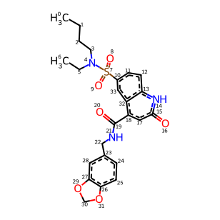 CCCCN(CC)S(=O)(=O)c1ccc2[nH]c(=O)cc(C(=O)NCc3ccc4c(c3)OCO4)c2c1